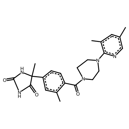 Cc1cnc(N2CCN(C(=O)c3ccc(C4(C)NC(=O)NC4=O)cc3C)CC2)c(C)c1